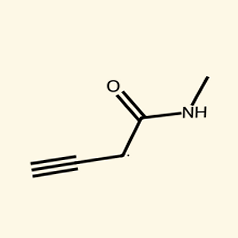 C#C[CH]C(=O)NC